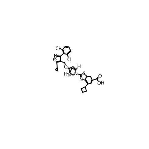 O=C(O)c1cc(C2CCC2)c2nc(N3C[C@H]4C[C@@H]3C[C@@H]4OCc3c(-c4c(Cl)cccc4Cl)noc3C3CC3)sc2c1